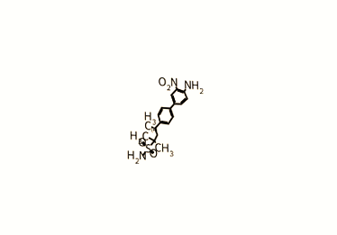 C[C@H](CC(C)(C)S(N)(=O)=O)c1ccc(-c2ccc(N)c([N+](=O)[O-])c2)cc1